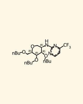 CCCCOC[C@H]1OC[C@@H](Nc2nccc(C(F)(F)F)n2)[C@@H](OCCCC)[C@H]1OCCCC